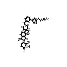 COCCn1cc(-c2cccc(CN3CCC4(CC3)COc3c4ccc4c3CN([C@H]3CCC(=O)NC3=O)C4=O)c2)cn1